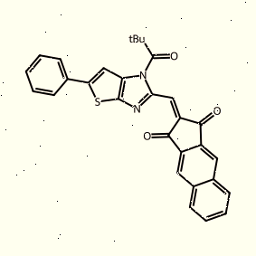 CC(C)(C)C(=O)n1c(C=C2C(=O)c3cc4ccccc4cc3C2=O)nc2sc(-c3ccccc3)cc21